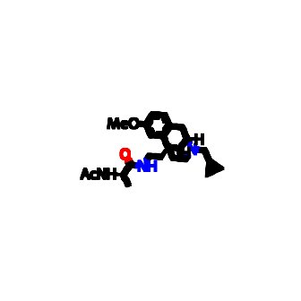 COc1ccc2c(c1)[C@@]1(CCNC(=O)[C@H](C)NC(C)=O)CCN(CC3CC3)[C@H](C2)[C@@H]1C